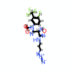 [N-]=[N+]=NCCCNc1nonc1-c1noc(=O)n1-c1ccc(F)c(C(F)(F)F)c1